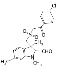 Cc1ccc2c(c1)N(C)C(C=O)C2(C)CS(=O)(=O)CC(=O)c1ccc(Cl)cc1